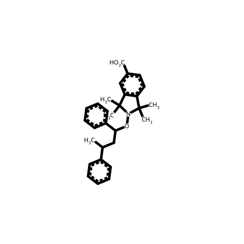 CC(CC(ON1C(C)(C)c2ccc(C(=O)O)cc2C1(C)C)c1ccccc1)c1ccccc1